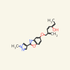 C=C(/C=C\C(O)=C/C)COc1ccc2oc(-c3cnn(C)c3)nc2c1